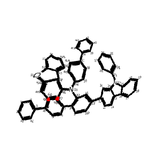 c1ccc(-c2ccc(-c3ccc(-c4ccc5c6ccccc6n(-c6ccccc6)c5c4)cc3N(c3ccc(-c4ccccc4)cc3)c3cccc4oc5ccccc5c34)cc2)cc1